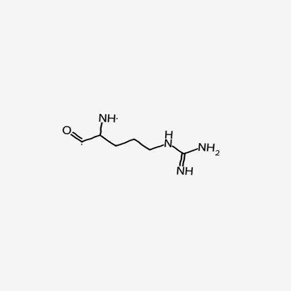 [NH]C([C]=O)CCCNC(=N)N